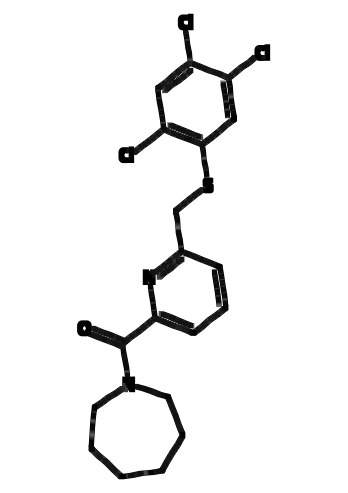 O=C(c1cccc(CSc2cc(Cl)c(Cl)cc2Cl)n1)N1CCCCCC1